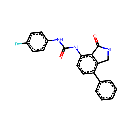 O=C(Nc1ccc(F)cc1)Nc1ccc(-c2ccccc2)c2c1C(=O)NC2